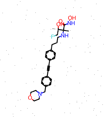 CC(NCCCc1ccc(C#Cc2ccc(CN3CCOCC3)cc2)cc1)(C(=O)NO)[C@](C)(O)CF